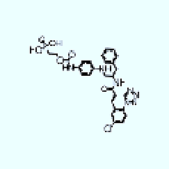 O=C(/C=C/c1cc(Cl)ccc1-n1cnnn1)NC(CNc1ccc(NC(=O)OCCP(=O)(O)O)cc1)Cc1ccccc1